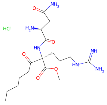 CCCCCC(=O)[C@@](CCCNC(=N)N)(NC(=O)[C@@H](N)CC(N)=O)C(=O)OC.Cl